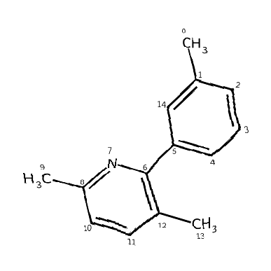 Cc1cccc(-c2nc(C)ccc2C)c1